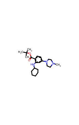 CN1CCN(c2ccc(C(=O)OC(C)(C)C)c(NC3CCCCC3)c2)CC1